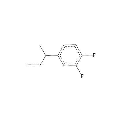 C=C[C](C)c1ccc(F)c(F)c1